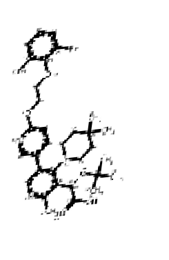 Cc1ncc(-c2ccc(OCCOc3c(F)cccc3Cl)nc2)c(N2CCC(C)(C)CC2)c1[C@H](OC(C)(C)C)C(=O)O